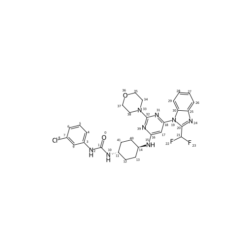 O=C(Nc1cccc(Cl)c1)N[C@H]1CC[C@H](Nc2cc(-n3c(C(F)F)nc4ccccc43)nc(N3CCOCC3)n2)CC1